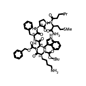 CSCCC(C(N)=O)N(C(=O)CCC(C)C)N1CC[C@H](NC(=O)[C@H](Cc2ccccc2)NC(=O)[C@@H](Cc2c[nH]c3ccccc23)N(C(=O)OCc2ccccc2)C(=O)[C@H](CCCCN)NC(=O)OC(C)(C)C)C1=O